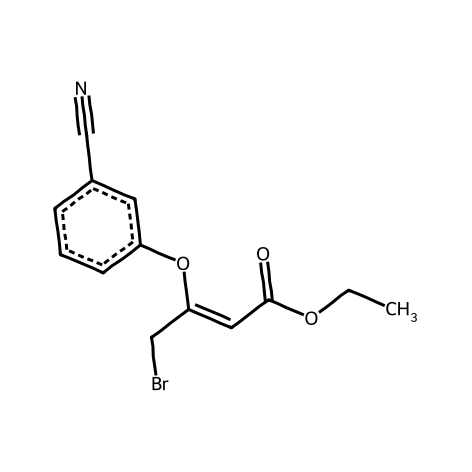 CCOC(=O)/C=C(/CBr)Oc1cccc(C#N)c1